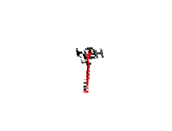 CCCCCCCCCCCCCCCCCCOC(=O)C(CC)(CC)CCP(=O)(O)O